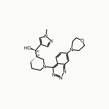 Cn1cc([C@H](O)[C@H]2CCCN(c3nnnc4cc(N5CCOCC5)ccc34)C2)cn1